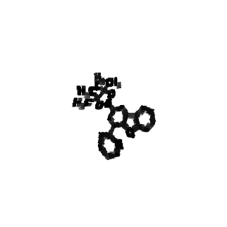 CC1(C)OB(c2cc(-c3ccccn3)c3oc4ccccc4c3c2)OC1(C)C